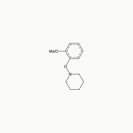 COc1ccccc1ON1CCCCC1